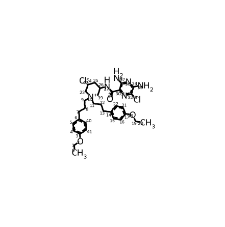 CCOc1ccc(CCC[N+]2(CCCc3ccc(OCC)cc3)CCCC(NC(=O)c3nc(Cl)c(N)nc3N)C2)cc1.[Cl-]